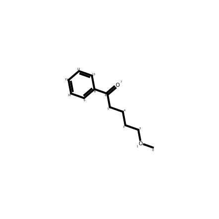 COCCCCC(=O)c1ccccc1